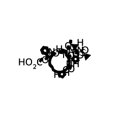 C=C[C@@H]1C[C@]1(NC(=O)[C@@H]1C[C@@H]2CN1C(=O)[C@H](C1CCCC1)NC(=O)O[C@@H]1CCC[C@H]1CC/C=C/Cc1c(nc3ccccc3c1OCC(=O)O)O2)C(=O)NS(=O)(=O)C1CC1